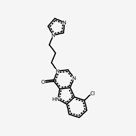 O=c1c2[nH]c3cccc(Cl)c3c2ncn1CCCn1ccnc1